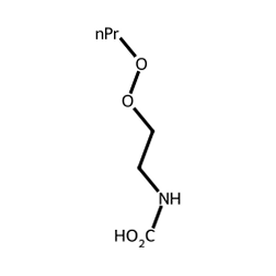 CCCOOCCNC(=O)O